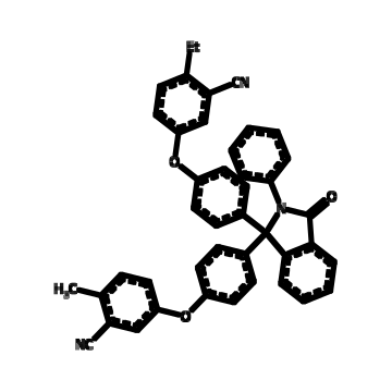 CCc1ccc(Oc2ccc(C3(c4ccc(Oc5ccc(C)c(C#N)c5)cc4)c4ccccc4C(=O)N3c3ccccc3)cc2)cc1C#N